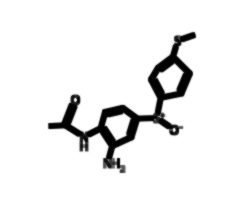 CSc1ccc([S+]([O-])c2ccc(NC(C)=O)c(N)c2)cc1